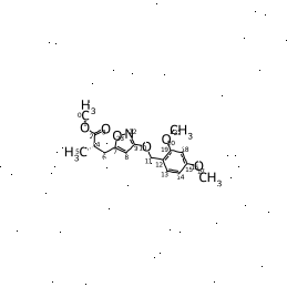 COC(=O)[C@@H](C)Cc1cc(OCc2ccc(OC)cc2OC)no1